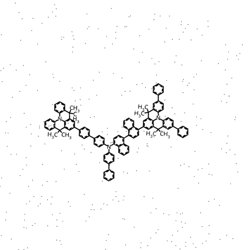 CC1(C)c2ccccc2N2c3ccccc3C(C)(C)c3cc(-c4ccc(-c5ccc(N(c6ccc(-c7ccccc7)cc6)c6ccc(-c7ccc(-c8cc9c%10c(c8)C(C)(C)c8cc(-c%11ccccc%11)ccc8N%10c8ccc(-c%10ccccc%10)cc8C9(C)C)c8ccccc78)c7ccccc67)cc5)cc4)cc1c32